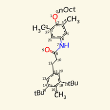 CCCCCCCCOc1c(C)cc(NC(=O)CCc2cc(C(C)(C)C)c(C)c(C(C)(C)C)c2)cc1C